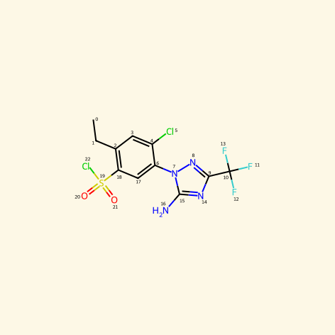 CCc1cc(Cl)c(-n2nc(C(F)(F)F)nc2N)cc1S(=O)(=O)Cl